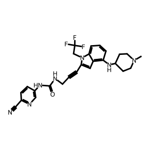 CN1CCC(Nc2cccc3c2cc(C#CCNC(=O)Nc2ccc(C#N)nc2)n3CC(F)(F)F)CC1